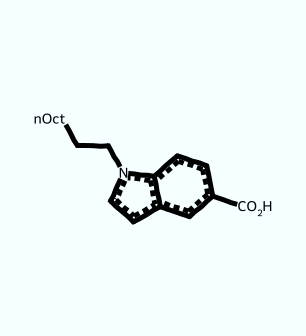 CCCCCCCCCCn1ccc2cc(C(=O)O)ccc21